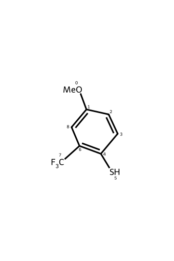 COc1ccc(S)c(C(F)(F)F)c1